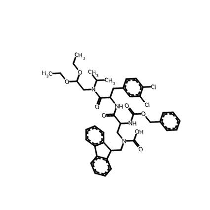 CCOC(CN(C(=O)C(Cc1ccc(Cl)c(Cl)c1)NC(=O)C(CN(CC1c2ccccc2-c2ccccc21)C(=O)O)NC(=O)OCc1ccccc1)C(C)C)OCC